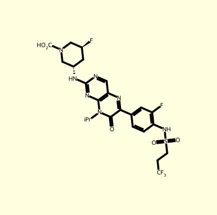 CC(C)n1c(=O)c(-c2ccc(NS(=O)(=O)CCC(F)(F)F)c(F)c2)nc2cnc(N[C@H]3C[C@H](F)CN(C(=O)O)C3)nc21